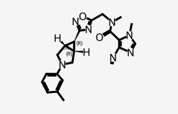 C=Nc1ncn(C)c1C(=O)N(C)Cc1nc([C@H]2[C@@H]3CN(c4cccc(C)c4)C[C@@H]32)no1